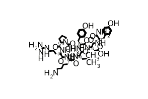 CC(=O)N1CCC[C@H]1C(=O)N[C@@H](CCCNC(=N)N)C(=O)N[C@@H](CCCCN)C(=O)N[C@@H](CC(C)C)C(=O)N[C@@H](Cc1ccc(O)cc1)C(=O)N[C@@H](CC(=O)O)C(=O)N[C@@H](Cc1ccc(O)cc1)C(N)=O